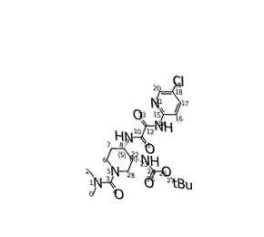 CN(C)C(=O)N1CC[C@H](NC(=O)C(=O)Nc2ccc(Cl)cn2)[C@H](NC(=O)OC(C)(C)C)C1